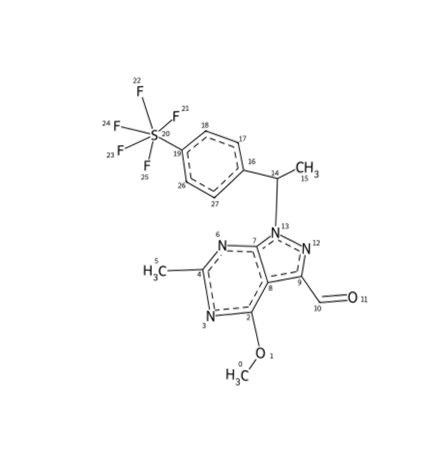 COc1nc(C)nc2c1c(C=O)nn2C(C)c1ccc(S(F)(F)(F)(F)F)cc1